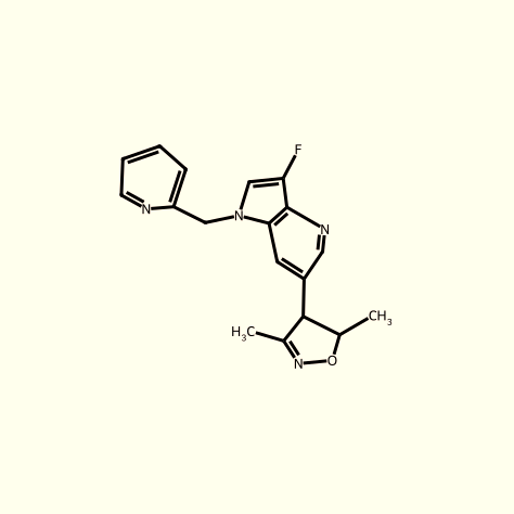 CC1=NOC(C)C1c1cnc2c(F)cn(Cc3ccccn3)c2c1